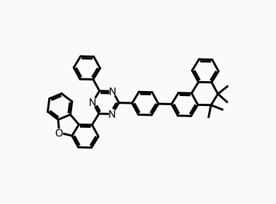 CC1(C)c2ccccc2-c2cc(-c3ccc(-c4nc(-c5ccccc5)nc(-c5cccc6oc7ccccc7c56)n4)cc3)ccc2C1(C)C